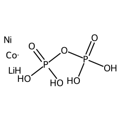 O=P(O)(O)OP(=O)(O)O.[Co].[LiH].[Ni]